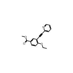 CCOc1ccc(C(=O)OC)cc1C#Cc1ccccn1